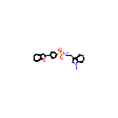 O=S(=O)(NCCc1c[nH]c2ccccc12)c1ccc(-c2cc3ccccc3o2)cc1